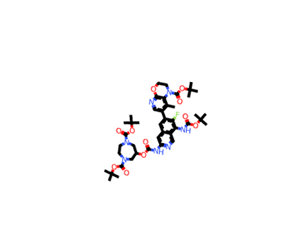 Cc1c(-c2cc3cc(NC(=O)OC4CN(C(=O)OC(C)(C)C)CCN(C(=O)OC(C)(C)C)C4)ncc3c(NC(=O)OC(C)(C)C)c2F)cnc2c1N(C(=O)OC(C)(C)C)CCO2